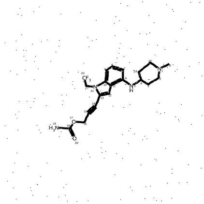 CN1CCC(Nc2cccc3c2cc(C#CCOC(N)=O)n3CC(F)(F)F)CC1